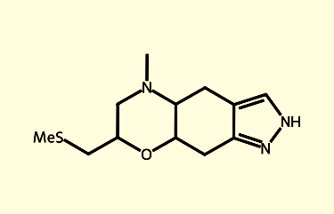 CSCC1CN(C)C2Cc3c[nH]nc3CC2O1